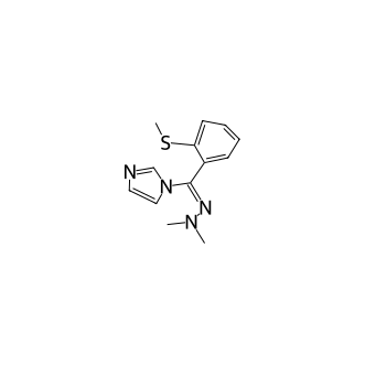 CSc1ccccc1C(=NN(C)C)n1ccnc1